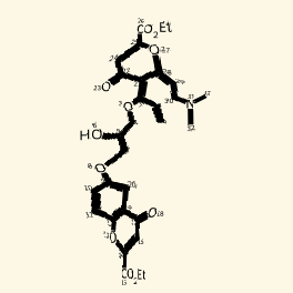 C=C/C(OCC(O)COc1ccc2oc(C(=O)OCC)cc(=O)c2c1)=c1/c(=O)cc(C(=O)OCC)o/c1=C/CN(C)C